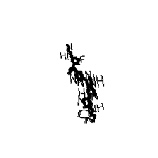 CN(C)CCNc1cc(F)cc(-c2ccnc3[nH]c(-c4n[nH]c5cnc(-c6cncc(NC(=O)CN(C)C)c6)cc45)cc23)c1